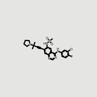 CC(C)(C#Cc1cc2ncnc(Nc3ccc(F)c(Cl)c3)c2cc1NS(C)(=O)=O)N1CCCC1